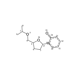 CC(C)OCC1CCC(n2ccccc2=O)O1